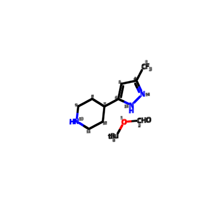 CC(C)(C)OC=O.FC(F)(F)c1cc(C2CCNCC2)[nH]n1